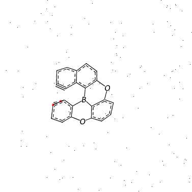 c1ccc2ccc3c(c2c#1)B1c2c(cccc2O3)Oc2ccc3c(c21)CCC=C3